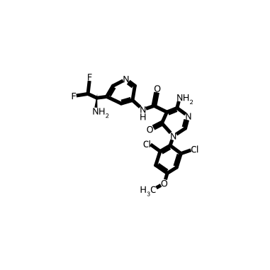 COc1cc(Cl)c(-n2cnc(N)c(C(=O)Nc3cncc([C@@H](N)C(F)F)c3)c2=O)c(Cl)c1